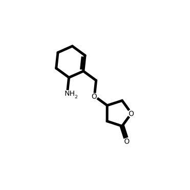 NC1CCCC=C1COC1COC(=O)C1